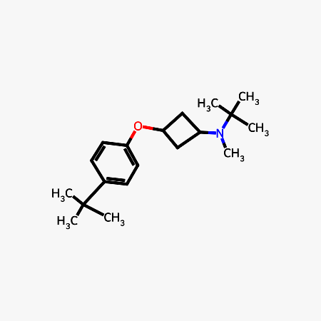 CN(C1CC(Oc2ccc(C(C)(C)C)cc2)C1)C(C)(C)C